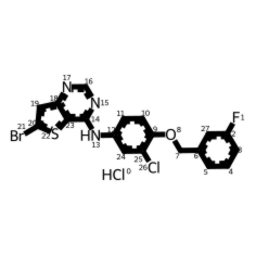 Cl.Fc1cccc(COc2ccc(Nc3ncnc4cc(Br)sc34)cc2Cl)c1